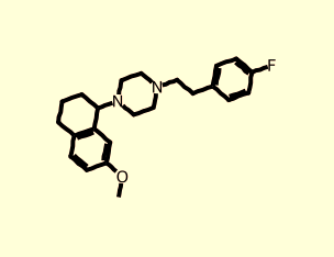 COc1ccc2c(c1)C(N1CCN(CCc3ccc(F)cc3)CC1)CCC2